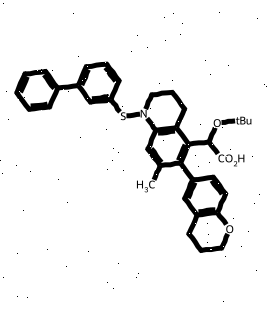 Cc1cc2c(c(C(OC(C)(C)C)C(=O)O)c1-c1ccc3c(c1)CCCO3)CCCN2Sc1cccc(-c2ccccc2)c1